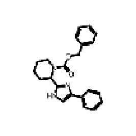 O=C(OCc1ccccc1)N1CCCCC1c1nc(-c2ccccc2)c[nH]1